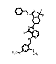 COc1ccc(CNc2nccn3c(C4CCC(C(F)(F)F)N(C(=O)OCc5ccccc5)C4)nc(Br)c23)c(OC)c1